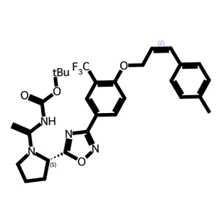 C=C(NC(=O)OC(C)(C)C)N1CCC[C@H]1c1nc(-c2ccc(OC/C=C\c3ccc(C)cc3)c(C(F)(F)F)c2)no1